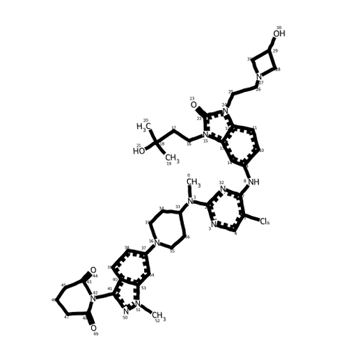 CN(c1ncc(Cl)c(Nc2ccc3c(c2)n(CCC(C)(C)O)c(=O)n3CCN2CC(O)C2)n1)C1CCN(c2ccc3c(N4C(=O)CCCC4=O)nn(C)c3c2)CC1